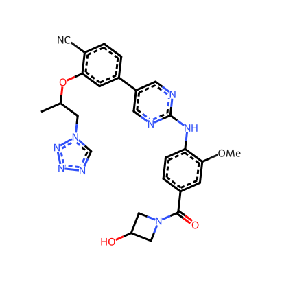 COc1cc(C(=O)N2CC(O)C2)ccc1Nc1ncc(-c2ccc(C#N)c(OC(C)Cn3cnnn3)c2)cn1